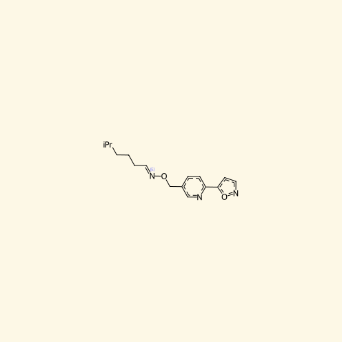 CC(C)CCC/C=N/OCc1ccc(-c2ccno2)nc1